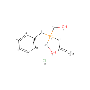 C=CC[P+](CO)(CO)Cc1ccccc1.[Cl-]